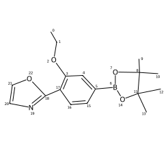 CCOc1cc(B2OC(C)(C)C(C)(C)O2)ccc1-c1ncco1